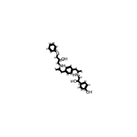 CC(Cc1ccc(CC(C)NC[C@@H](O)COc2ccccc2)cc1)NCC(O)c1ccc(O)cc1